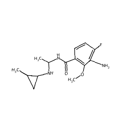 COc1c(C(=O)NC(C)NC2CC2C)ccc(F)c1N